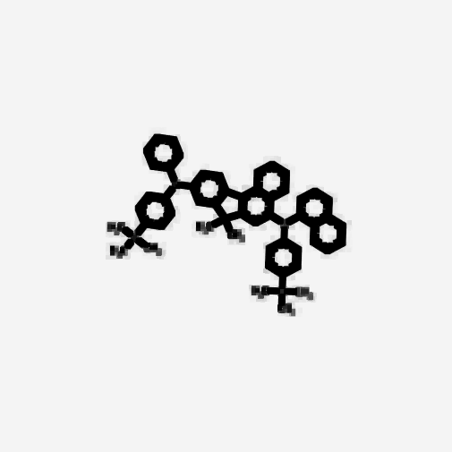 CC1(C)c2cc(N(c3ccccc3)c3ccc([Si](C)(C)C)cc3)ccc2-c2c1cc(N(c1ccc([Si](C)(C)C)cc1)c1cccc3ccccc13)c1ccccc21